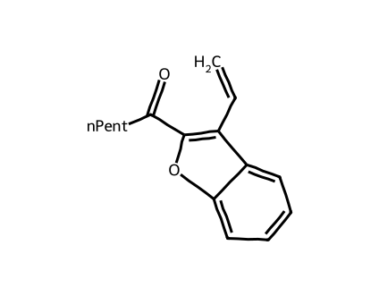 C=Cc1c(C(=O)CCCCC)oc2ccccc12